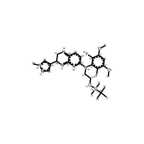 COc1cc(OC)c(F)c(N(CCO[Si](C)(C)C(C)(C)C)c2ccc3c(n2)=NC(c2cnn(C)c2)CN=3)c1F